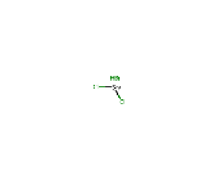 Br.[Cl][Sn][Cl]